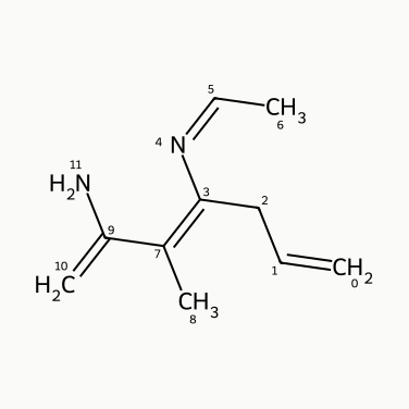 C=CCC(/N=C\C)=C(\C)C(=C)N